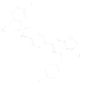 Cc1n[nH]c2nc(-c3ccc(NS(=O)(=O)c4cc(Cl)ccc4C#N)cc3)nc(OC3CCC(O)CC3)c12